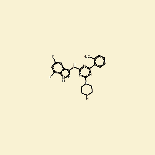 Cc1ccccc1-c1nc(Nc2n[nH]c3c(F)cc(F)cc23)nc(N2CCNCC2)n1